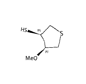 CO[C@@H]1CSC[C@@H]1S